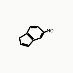 O=Nc1ccc2c(c1)C=CC2